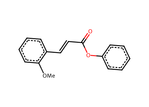 COc1ccccc1C=CC(=O)Oc1ccccc1